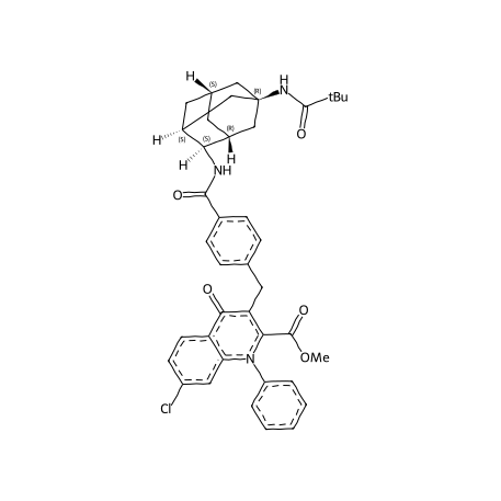 COC(=O)c1c(Cc2ccc(C(=O)N[C@@H]3[C@@H]4C[C@@H]5C[C@H]3C[C@](NC(=O)C(C)(C)C)(C5)C4)cc2)c(=O)c2ccc(Cl)cc2n1-c1ccccc1